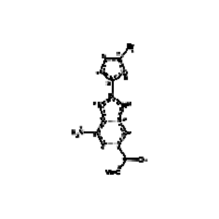 COC(=O)c1cc(N)c2nc(-c3ccc(Br)o3)nn2c1